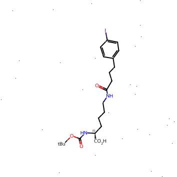 CC(C)(C)OC(=O)N[C@@H](CCCCNC(=O)CCCc1ccc(I)cc1)C(=O)O